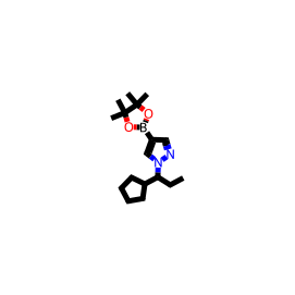 CCC(C1CCCC1)n1cc(B2OC(C)(C)C(C)(C)O2)cn1